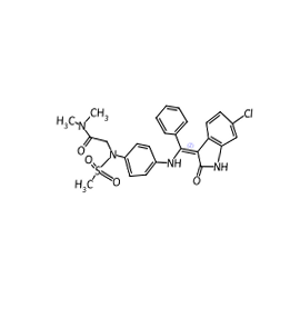 CN(C)C(=O)CN(c1ccc(N/C(=C2\C(=O)Nc3cc(Cl)ccc32)c2ccccc2)cc1)S(C)(=O)=O